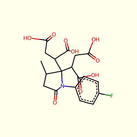 CC1CC(=O)N(c2ccc(F)cc2)C1(C(CC(=O)O)C(=O)O)C(CC(=O)O)C(=O)O